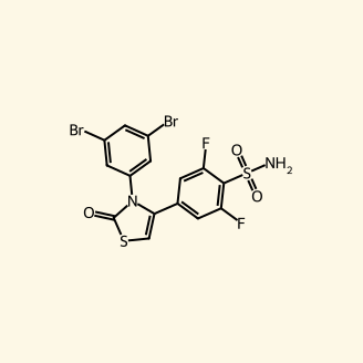 NS(=O)(=O)c1c(F)cc(-c2csc(=O)n2-c2cc(Br)cc(Br)c2)cc1F